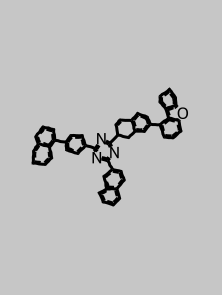 C1=CC(c2nc(-c3ccc(-c4cccc5ccccc45)cc3)nc(-c3ccc4ccccc4c3)n2)Cc2cc(-c3cccc4oc5ccccc5c34)ccc21